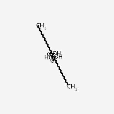 CCCCCC=CCC=CCCCCCCCC(=O)C(O)C(O)C(O)C(=O)CCCCCCCC=CCC=CCCCCC